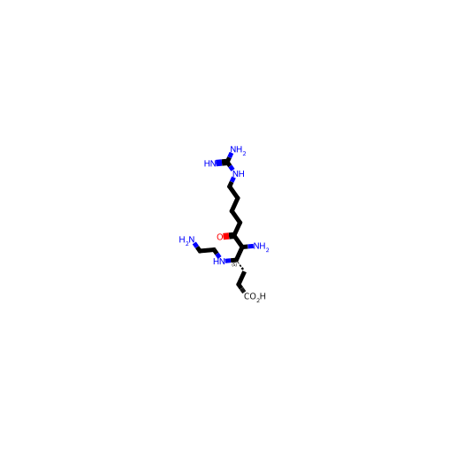 N=C(N)NCCCCC(=O)C(N)[C@H](CCC(=O)O)NCCN